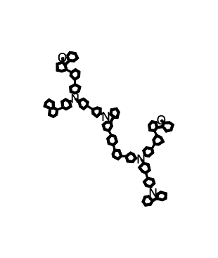 c1cc(-c2ccc(-c3ccc4c(c3)c3ccccc3n4-c3ccc(-c4ccc(N(c5ccc(-c6cccc(-c7cccc8oc9ccccc9c78)c6)cc5)c5ccc(-c6cccc7ccccc67)cc5)cc4)cc3)cc2)cc(-c2ccc(N(c3ccc(-c4ccc(-n5c6ccccc6c6ccccc65)cc4)cc3)c3ccc(-c4cccc(-c5cccc6oc7ccccc7c56)c4)cc3)cc2)c1